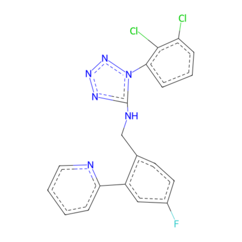 Fc1ccc(CNc2nnnn2-c2cccc(Cl)c2Cl)c(-c2ccccn2)c1